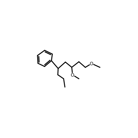 CCCC(CC(CCOC)OC)c1ccccc1